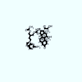 CC(=O)OCC(CCn1cnc2cnc(N)nc21)COC(C)=O.C[C@@H]1C[C@H]2[C@@H]3CCC4=CC(=O)C=C[C@]4(C)[C@@]3(F)C(O)C[C@]2(C)[C@H]1C(=O)CO